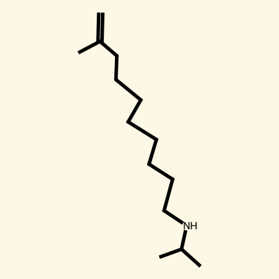 C=C(C)CCCCCCCCNC(C)C